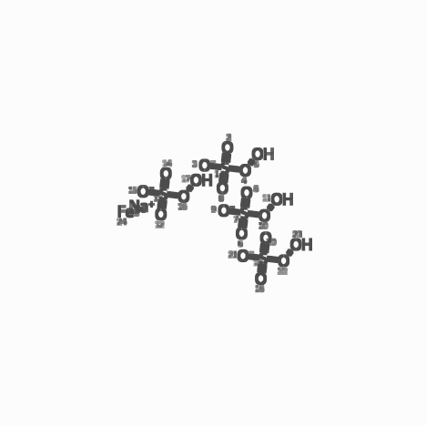 O=S(=O)([O-])OO.O=S(=O)([O-])OO.O=S(=O)([O-])OO.O=S(=O)([O-])OO.[Fe+3].[Na+]